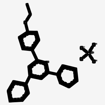 CCOc1ccc(-c2cc(-c3ccccc3)cc(-c3ccccc3)[s+]2)cc1.[O-][Cl+3]([O-])([O-])[O-]